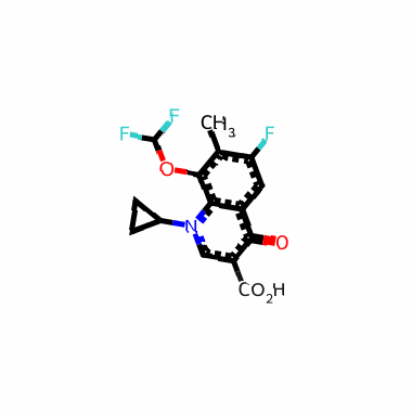 Cc1c(F)cc2c(=O)c(C(=O)O)cn(C3CC3)c2c1OC(F)F